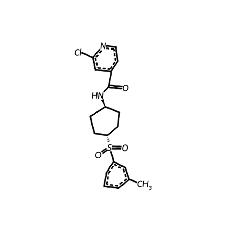 Cc1cccc(S(=O)(=O)[C@H]2CC[C@H](NC(=O)c3ccnc(Cl)c3)CC2)c1